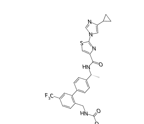 C[C@@H](NC(=O)c1csc(-n2cnc(C3CC3)c2)n1)c1ccc(-c2cc(C(F)(F)F)ccc2CNC(=O)OC(C)(C)C)cc1